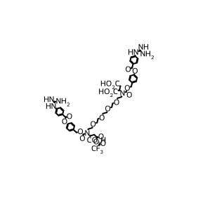 N=C(N)Nc1ccc(C(=O)Oc2ccc(COC(=O)N(CCOCCOCCOCCOCCN(C(=O)OCc3ccc(OC(=O)c4ccc(NC(=N)N)cc4)cc3)C(CC(=O)OC(=O)C(F)(F)F)C(=O)O)C(CC(=O)O)C(=O)O)cc2)cc1